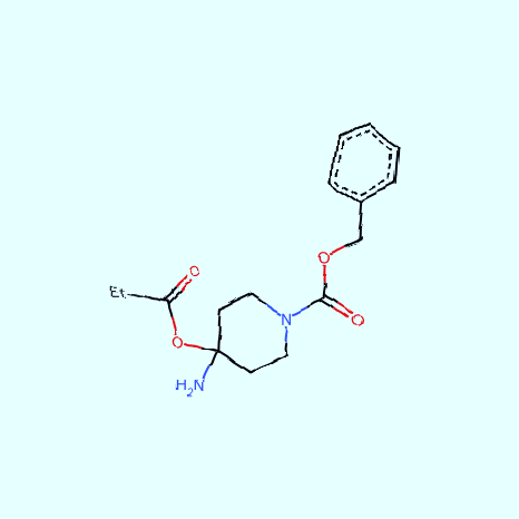 CCC(=O)OC1(N)CCN(C(=O)OCc2ccccc2)CC1